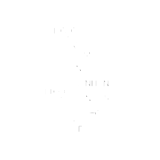 C#Cc1c(F)cccc1[C@H]1N=C(c2nccs2)NC(CN2CCO[C@H](/C=C/C(=O)O)C2)=C1C(=O)OCC